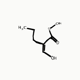 CCCC(=CO)C(=O)OO